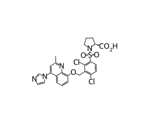 Cc1cc(-n2ccnc2)c2cccc(OCc3c(Cl)ccc(S(=O)(=O)N4CCC[C@H]4C(=O)O)c3Cl)c2n1